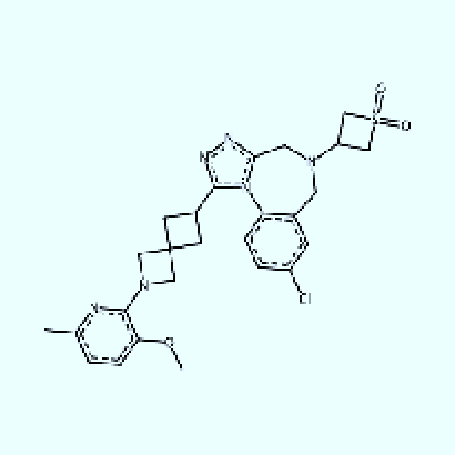 COc1ccc(C)nc1N1CC2(CC(c3nnc4n3-c3ccc(Cl)cc3CN(C3CS(=O)(=O)C3)C4)C2)C1